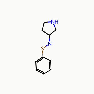 c1ccc(S[N]C2CCNC2)cc1